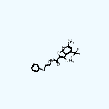 Cc1cc(C(F)(F)F)c2c(N)c(C(=O)NCCOc3ccccc3)sc2n1